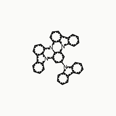 c1ccc2c(c1)c1ccccc1n2-c1cc2c3c(c1)n1c4ccccc4c4cccc(c41)n-3c1cccc3c4ccccc4n2c31